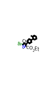 CCOC(=O)c1c(-c2ccc(-c3ccccc3C)cc2)c(C#N)c(Br)n1C